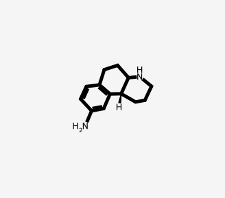 Nc1ccc2c(c1)[C@H]1CCCNC1CC2